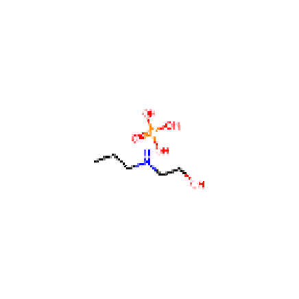 CCCNCCO.O=P(O)(O)O